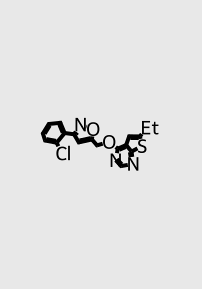 CCc1cc2c(OCc3cc(-c4ccccc4Cl)no3)ncnc2s1